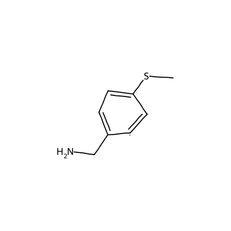 CSc1c[c]c(CN)cc1